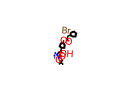 CN(CC(O)c1ccc(OC(=O)Cc2ccccc2Br)cc1)C(=O)OC(C)(C)C